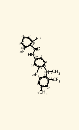 Cc1ccc(N(C)c2ccc(NC(=O)c3c(F)cccc3F)cc2F)c(C(F)(F)F)c1